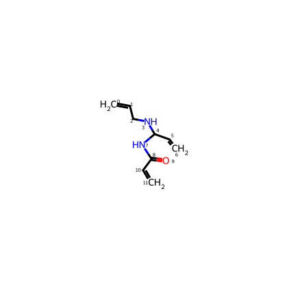 C=CCNC(C=C)NC(=O)C=C